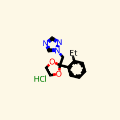 CCc1ccccc1C1(Cn2cncn2)OCCO1.Cl